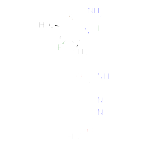 COc1ccc(C(=O)Nc2ccc(F)c([C@@]3(C)N=C(N)S[C@H](C)[C@@H]3F)c2)nn1